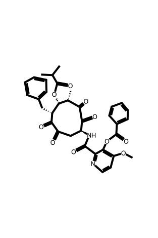 COc1ccnc(C(=O)N[C@H]2CC(=O)C(=O)[C@H](Cc3ccccc3)[C@H](OC(=O)C(C)C)[C@H](C)C(=O)C2=O)c1OC(=O)c1ccccc1